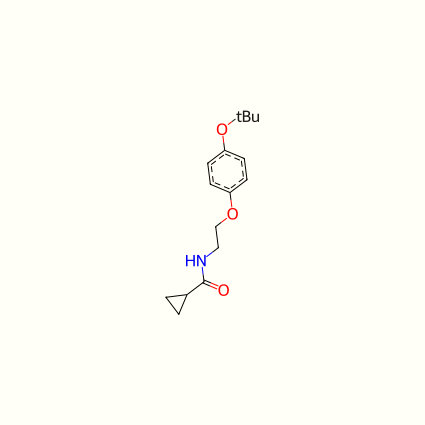 CC(C)(C)Oc1ccc(OCCNC(=O)C2CC2)cc1